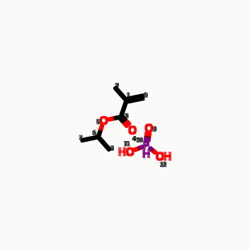 C=C(C)C(=O)OC(C)C.O=[PH](O)O